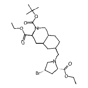 CCOC(=O)C1CC2CC(CN3C[C@@H](Br)C[C@H]3C(=O)OCC)CCC2CN1C(=O)OC(C)(C)C